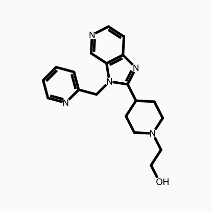 OCCN1CCC(c2nc3ccncc3n2Cc2ccccn2)CC1